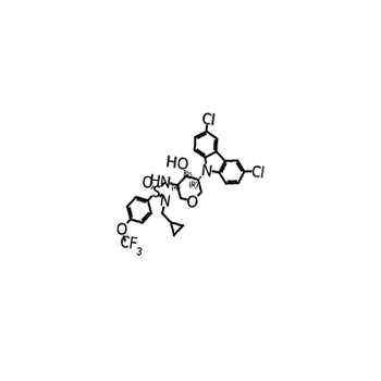 O=S(=NCC1CC1)(N[C@@H]1COC[C@@H](n2c3ccc(Cl)cc3c3cc(Cl)ccc32)[C@H]1O)c1ccc(OC(F)(F)F)cc1